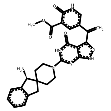 C=C(c1c[nH]c(=O)c(C(=O)OC)c1)c1n[nH]c2nc(N3CCC4(CC3)Cc3ccccc3[C@H]4N)[nH]c(=O)c12